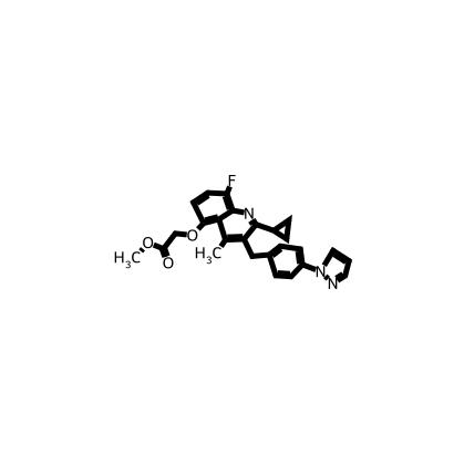 COC(=O)COc1ccc(F)c2nc(C3CC3)c(Cc3ccc(-n4cccn4)cc3)c(C)c12